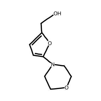 OCc1ccc(N2CCOCC2)o1